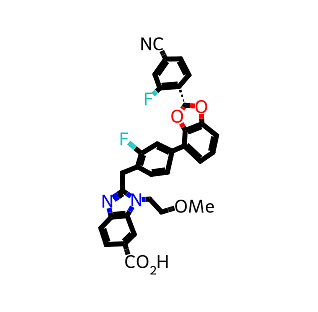 COCCn1c(Cc2ccc(-c3cccc4c3O[C@H](c3ccc(C#N)cc3F)O4)cc2F)nc2ccc(C(=O)O)cc21